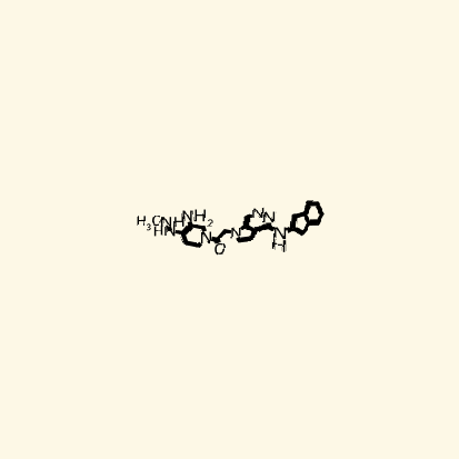 CNNC1=C(N)CN(C(=O)Cn2ccc3c(NC4Cc5ccccc5C4)nncc32)CC1